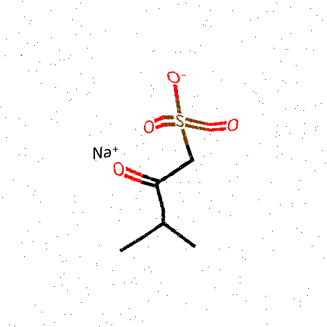 CC(C)C(=O)CS(=O)(=O)[O-].[Na+]